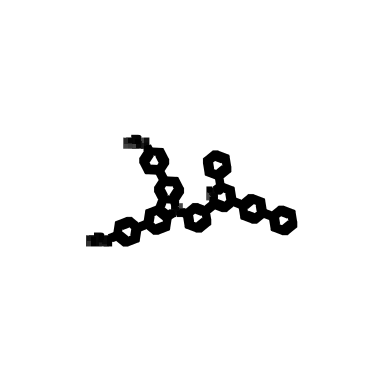 CCCCc1ccc(-c2ccc3c(c2)c2cc(-c4ccc(CCCC)cc4)ccc2n3-c2cccc(-c3cc(-c4ccc(-c5ccccc5)cc4)cc(-c4ccccc4)n3)c2)cc1